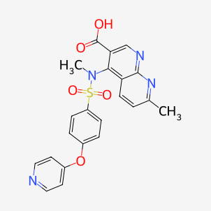 Cc1ccc2c(N(C)S(=O)(=O)c3ccc(Oc4ccncc4)cc3)c(C(=O)O)cnc2n1